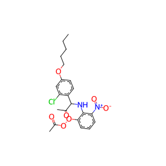 CCCCCOc1ccc(C(Nc2c(OOC(C)=O)cccc2[N+](=O)[O-])C(C)=O)c(Cl)c1